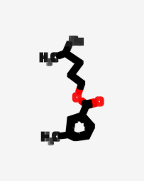 CCC(C)C(C)CCCOC(=O)c1cccc(C)c1